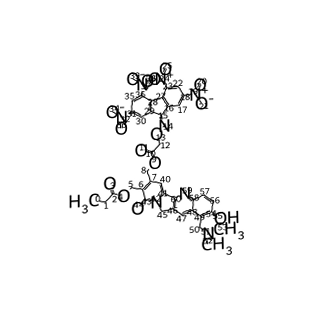 CCC(=O)OCc1c(COC(=O)CON=C2c3cc([N+](=O)[O-])cc([N+](=O)[O-])c3-c3c2cc([N+](=O)[O-])cc3[N+](=O)[O-])cc2n(c1=O)Cc1cc3c(CN(C)C)c(O)ccc3nc1-2